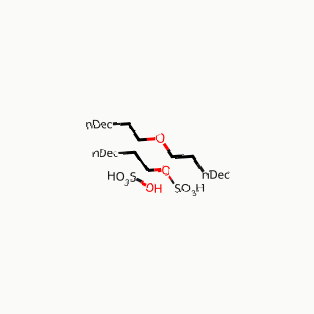 CCCCCCCCCCCCOCCCCCCCCCCCC.CCCCCCCCCCCCOS(=O)(=O)O.O=S(=O)(O)O